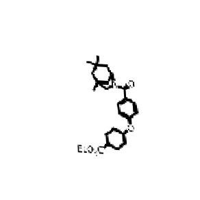 CCOC(=O)C1CCC(Oc2ccc(C(=O)N3CC4(C)CC3CC(C)(C)C4)cc2)CC1